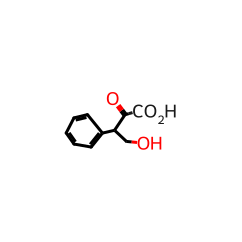 O=C(O)C(=O)C(CO)c1ccccc1